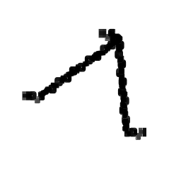 Cc1ccc(OCCOCCOCCOCCOCCOCCOCCOCCOCCCS(=O)(=O)O)c(OCCOCCOCCOCCOCCOCCOCCOCCOCCCS(=O)(=O)O)c1